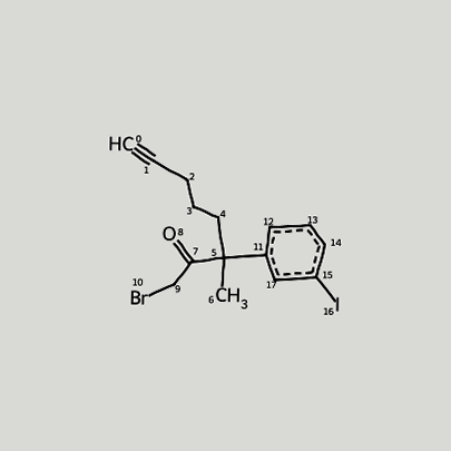 C#CCCCC(C)(C(=O)CBr)c1cccc(I)c1